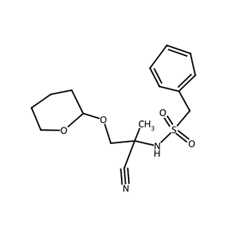 CC(C#N)(COC1CCCCO1)NS(=O)(=O)Cc1ccccc1